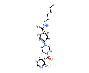 CCCCCCNC(=O)c1ccc(N2CCN(C(=O)c3cccnc3Cl)CC2)nc1